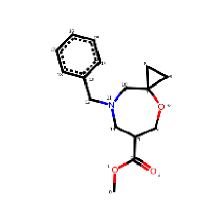 COC(=O)C1COC2(CC2)CN(Cc2ccccc2)C1